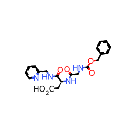 O=C(O)C[C@H](NC(=O)CNC(=O)OCc1ccccc1)C(=O)NCc1ccccn1